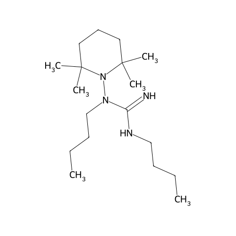 CCCCNC(=N)N(CCCC)N1C(C)(C)CCCC1(C)C